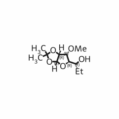 CC[C@@H](O)[C@H]1O[C@@H]2OC(C)(C)O[C@@H]2[C@@H]1OC